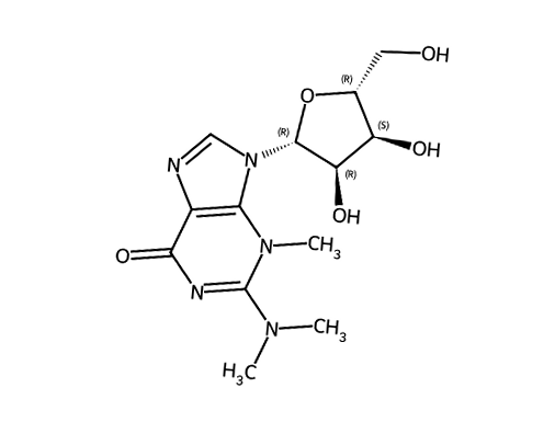 CN(C)c1nc(=O)c2ncn([C@@H]3O[C@H](CO)[C@@H](O)[C@H]3O)c2n1C